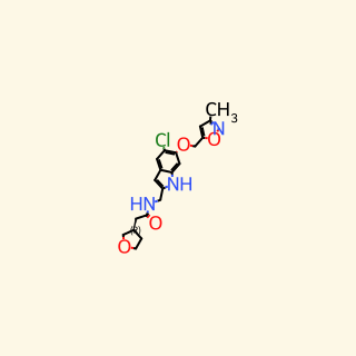 Cc1cc(COc2cc3[nH]c(CNC(=O)C[C@H]4CCOC4)cc3cc2Cl)on1